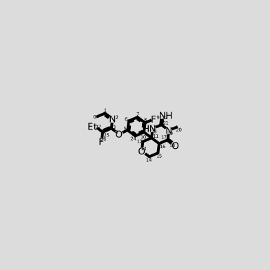 C/C=N\C(Oc1ccc(F)c(C23COCCC2C(=O)N(C)C(=N)N3)c1)=C(\F)CC